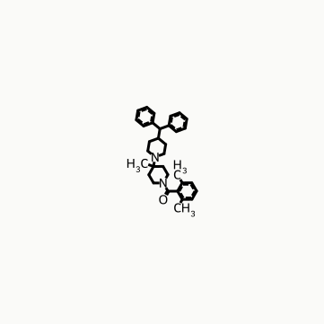 Cc1cccc(C)c1C(=O)N1CCC(C)(N2CCC(C(c3ccccc3)c3ccccc3)CC2)CC1